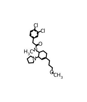 COCCCC1=CC(N2CCCC2)C(N(C)C(=O)Cc2ccc(Cl)c(Cl)c2)CC1